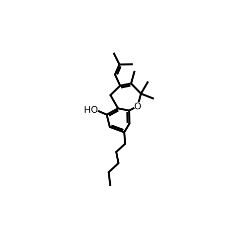 CCCCCc1cc(O)c2c(c1)OC(C)(C)C(C)=C(C=C(C)C)C2